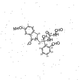 COc1ccc2c(c1)C(=O)N(C[C@](C)(NC(=O)NC=O)c1ccccc1C=O)C2